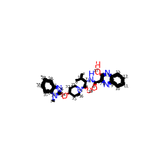 CC(C)[C@H](NC(=O)c1nc2ccccc2nc1O)C(=O)N1CCC(Oc2nc3ccccc3n2C)CC1